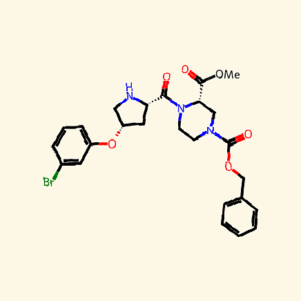 COC(=O)[C@@H]1CN(C(=O)OCc2ccccc2)CCN1C(=O)[C@@H]1C[C@H](Oc2cccc(Br)c2)CN1